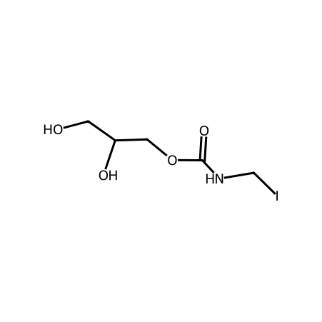 O=C(NCI)OCC(O)CO